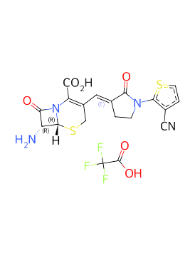 N#Cc1ccsc1N1CC/C(=C\C2=C(C(=O)O)N3C(=O)[C@@H](N)[C@H]3SC2)C1=O.O=C(O)C(F)(F)F